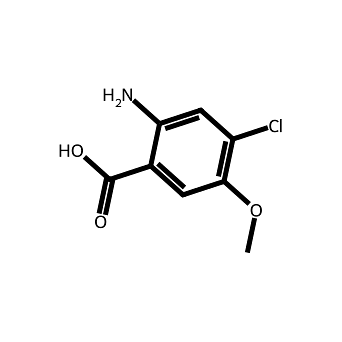 COc1cc(C(=O)O)c(N)cc1Cl